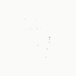 CN(C)S(=O)(=O)Cc1cnnc(Cl)c1